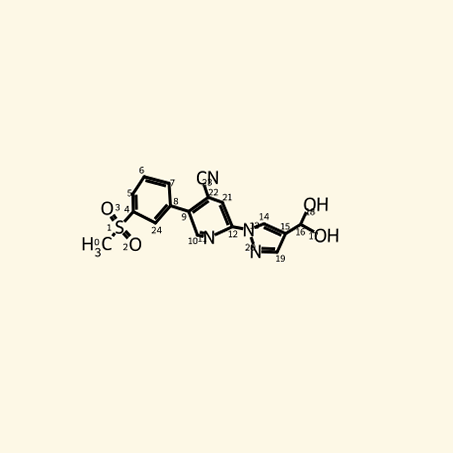 CS(=O)(=O)c1cccc(-c2cnc(-n3cc(C(O)O)cn3)cc2C#N)c1